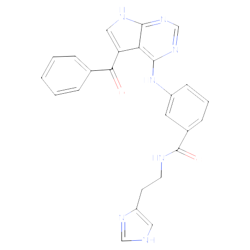 O=C(NCCc1c[nH]cn1)c1cccc(Nc2ncnc3[nH]cc(C(=O)c4ccccc4)c23)c1